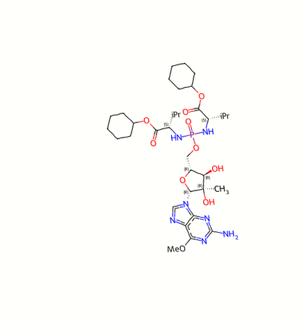 COc1nc(N)nc2c1ncn2[C@@H]1O[C@H](COP(=O)(N[C@H](C(=O)OC2CCCCC2)C(C)C)N[C@H](C(=O)OC2CCCCC2)C(C)C)[C@@H](O)[C@@]1(C)O